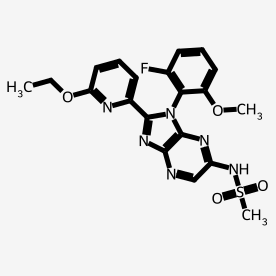 CCOc1cccc(-c2nc3ncc(NS(C)(=O)=O)nc3n2-c2c(F)cccc2OC)n1